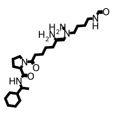 CC(NC(=O)C1CCCN1C(=O)CCCC/C(N)=C/N(N)CCCCNC=O)C1CCCCC1